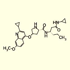 CCC[C@@H](CC(=O)NC1CC1)NC(=O)[C@@H]1C[C@@H](Oc2cc(C3CC3)nc3cc(OC)ccc23)CN1